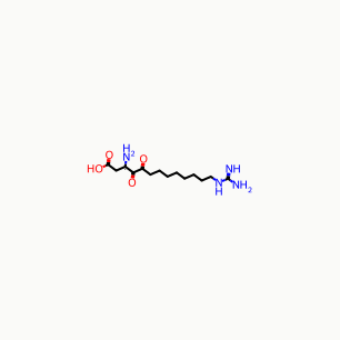 N=C(N)NCCCCCCCCC(=O)C(=O)[C](N)CC(=O)O